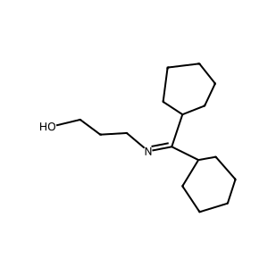 OCCCN=C(C1CCCCC1)C1CCCCC1